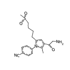 Cc1c(C(=O)CN)cc(CCCCS(C)(=O)=O)n1-c1ccc(C#N)cc1